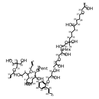 C=CCOC(CCO)CCO.C=CCOCC(C)(CO)CO.CC(O)COCCCCC(O)CCCCC(C)(O)OCO.CC=Cc1ccccc1OCC(O)CO.CCCC(C)OCC(O)CCO.CCCCCCC(O)COCC(C)O